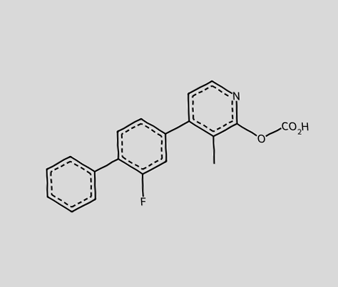 Cc1c(-c2ccc(-c3ccccc3)c(F)c2)ccnc1OC(=O)O